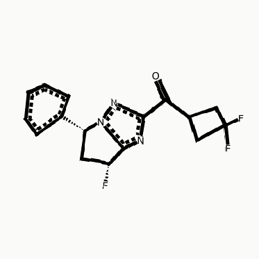 O=C(c1nc2n(n1)[C@@H](c1ccccc1)C[C@H]2F)C1CC(F)(F)C1